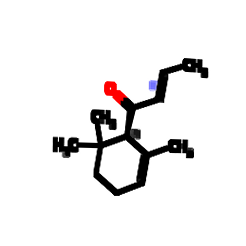 C/C=C/C(=O)[C@H]1C(C)=CCCC1(C)C